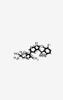 COc1ccc(F)c(Cl)c1[C@@H](C)c1c[nH]c2ncc(-c3c(C)nn(CC(C)(C)O)c3C)cc12